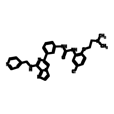 CN(C)CCOc1ccc(Cl)cc1NC(=O)Nc1cccc(-c2cn3ccnc3c(NCc3ccncc3)n2)c1